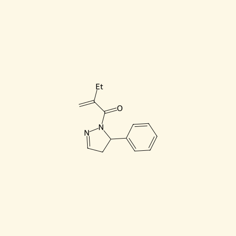 C=C(CC)C(=O)N1N=CCC1c1ccccc1